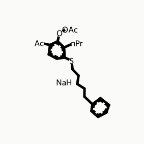 CCCc1c(SCCCCCc2ccccc2)ccc(C(C)=O)c1OOC(C)=O.[NaH]